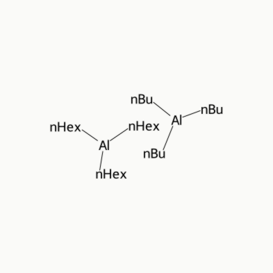 CCCCC[CH2][Al]([CH2]CCCCC)[CH2]CCCCC.CCC[CH2][Al]([CH2]CCC)[CH2]CCC